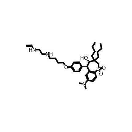 C=CNCCNCCCCOc1ccc([C@@H]2c3cc(N(C)C)ccc3S(=O)(=O)CC(CCCC)(CCCC)[C@@H]2O)cc1